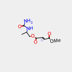 COC(=O)/C=C/C(=O)OCC(C)NC(N)=O